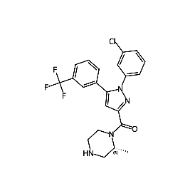 C[C@@H]1CNCCN1C(=O)c1cc(-c2cccc(C(F)(F)F)c2)n(-c2cccc(Cl)c2)n1